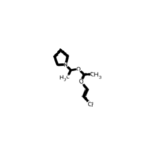 CC(OCCCl)OC(C)N1CCCC1